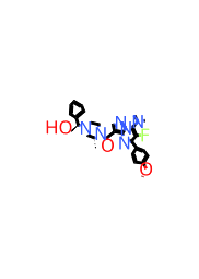 COc1ccc(-c2nc3c(C(=O)N4CCN([C@@H](CO)c5ccccc5)C[C@H]4C)cnn3c(N(C)C)c2F)cc1